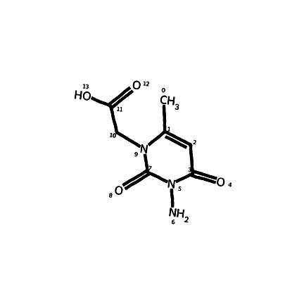 Cc1cc(=O)n(N)c(=O)n1CC(=O)O